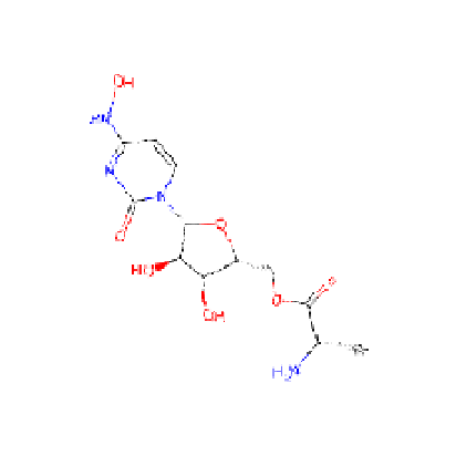 CC(C)[C@H](N)C(=O)OC[C@H]1O[C@@H](n2ccc(NO)nc2=O)[C@H](O)[C@@H]1O